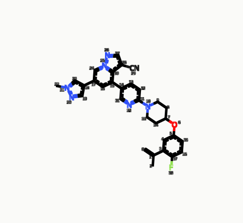 C=C(C)c1cc(OC2CCN(c3ccc(-c4cc(-c5cnn(C)c5)cn5ncc(C#N)c45)cn3)CC2)ccc1F